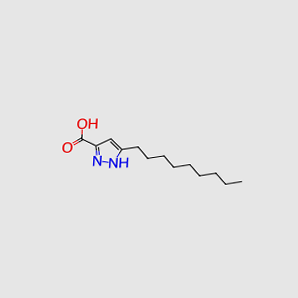 CCCCCCCCCc1cc(C(=O)O)n[nH]1